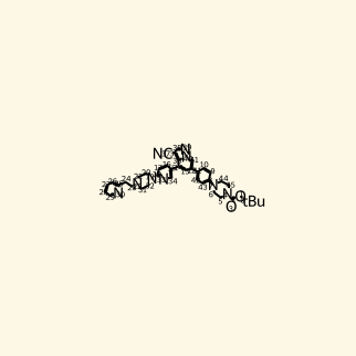 CC(C)(C)OC(=O)N1CCN(c2ccc(-c3cc(-c4ccc(N5CCN(CCc6ccccn6)CC5)nc4)c4c(C#N)cnn4c3)cc2)CC1